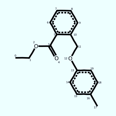 CCOC(=O)c1ccccc1COc1ccc(C)cc1